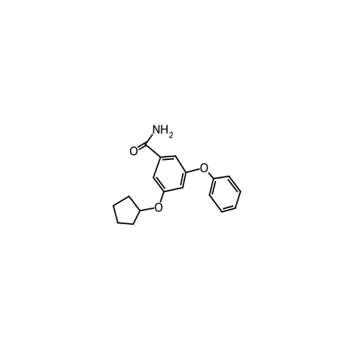 NC(=O)c1cc(Oc2ccccc2)cc(OC2CCCC2)c1